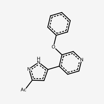 CC(=O)c1cc(-c2ccncc2Oc2ccccc2)[nH]n1